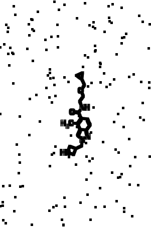 Cc1c(C(=O)NCCOCC2CC2)ccc2nn(CC3CNC3)cc12